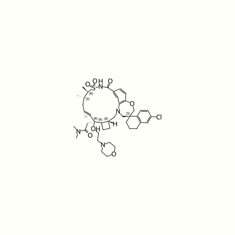 C[C@@H]1[C@@H](C)C/C=C/[C@](CC(=O)N(C)C)(OCCN2CCOCC2)[C@@H]2CC[C@H]2CN2C[C@@]3(CCCc4cc(Cl)ccc43)COc3ccc(cc32)C(=O)NS1(=O)=O